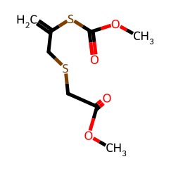 C=C(CSCC(=O)OC)SC(=O)OC